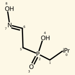 CC(C)CP(=O)(O)CC=NO